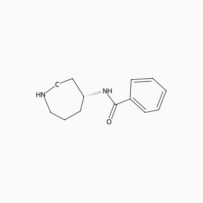 O=C(N[C@@H]1CCCNCC1)c1ccccc1